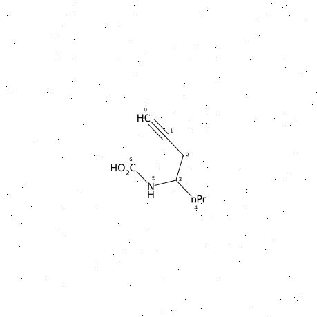 C#CCC(CCC)NC(=O)O